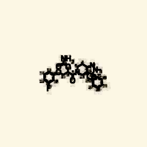 CN1N=C2CCN(C(=O)C(COc3cccc(F)c3)OC(N)=O)C[C@@]2(Cc2ccccc2)C1=O